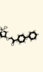 O=C(COC1C=CS(=O)(=O)C1)c1ccc(-c2ccccc2)cc1